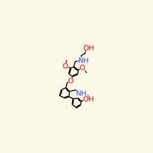 COc1cc(OCc2cccc(-c3cccc(O)c3)c2CN)cc(OC)c1CNCCO